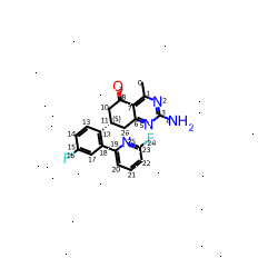 Cc1nc(N)nc2c1C(=O)C[C@@H](c1ccc(F)cc1-c1cccc(F)n1)C2